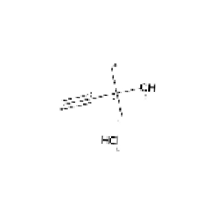 C#CC(C)(C)O.Cl